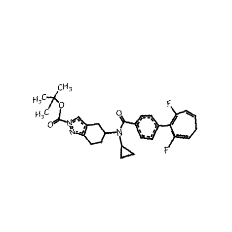 CC(C)(C)OC(=O)n1cc2c(n1)CCC(N(C(=O)c1ccc(C3=C(F)C=CCC=C3F)cc1)C1CC1)C2